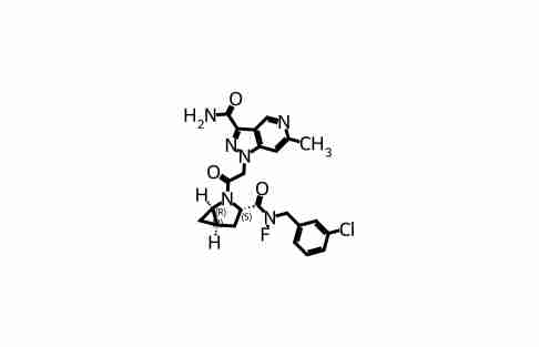 Cc1cc2c(cn1)c(C(N)=O)nn2CC(=O)N1[C@@H]2C[C@@H]2C[C@H]1C(=O)N(F)Cc1cccc(Cl)c1